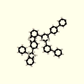 c1ccc(-c2ccc(-c3cc(-c4cccc5oc6cc(-c7nc8ccccc8n7-c7ccccc7)ccc6c45)nc(-c4cccc(-c5ccccc5)c4)n3)cc2)cc1